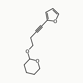 C(#Cc1ccco1)CCOC1CCCCO1